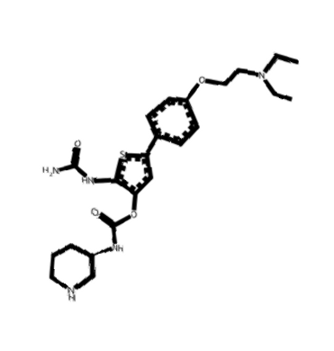 CCN(CC)CCOc1ccc(-c2cc(OC(=O)N[C@@H]3CCCNC3)c(NC(N)=O)s2)cc1